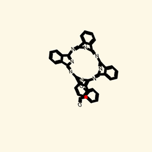 O=Cc1ccccc1On1c2nc3nc(nc4[nH]c(nc5nc(nc1c1ccccc12)-c1ccccc1-5)c1ccccc41)-c1ccccc1-3